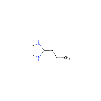 CCCC1NCCN1